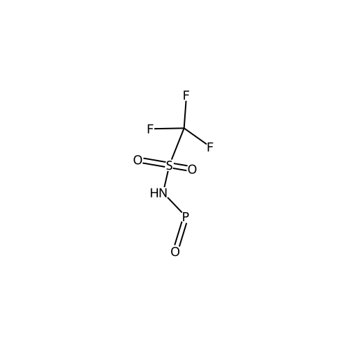 O=PNS(=O)(=O)C(F)(F)F